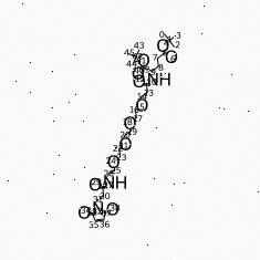 CC(C)(C)OC(=O)CCC(NC(=O)CCOCCOCCOCCOCCNC(=O)CCN1C(=O)C=CC1=O)C(=O)OC(C)(C)C